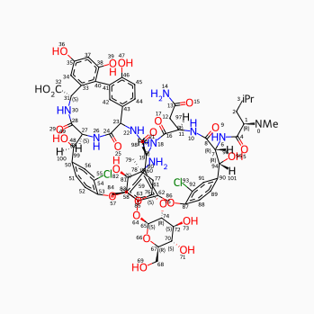 CN[C@H](CC(C)C)C(=O)N[C@H]1C(=O)N[C@H](CC(N)=O)C(=O)N[C@H]2C(=O)NC3C(=O)N[C@H](C(=O)N[C@H](C(=O)O)c4cc(O)cc(O)c4-c4cc3ccc4O)[C@H](O)c3ccc(c(Cl)c3)Oc3cc2cc(c3O[C@@H]2O[C@H](CO)[C@@H](O)[C@H](O)[C@H]2O[C@H]2C[C@](C)(N)[C@H](O)[C@H](C)O2)Oc2ccc(cc2Cl)[C@H]1O